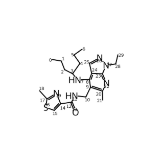 CCCC(CCC)Nc1c(CNC(=O)c2csc(C)n2)c(C)nc2c1cnn2CC